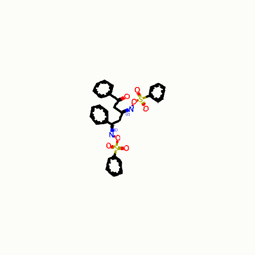 O=C(C/C(C/C(=N\OS(=O)(=O)c1ccccc1)c1ccccc1)=N\OS(=O)(=O)c1ccccc1)c1ccccc1